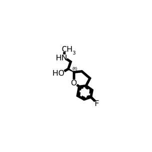 CNCC(O)[C@H]1CCc2cc(F)ccc2O1